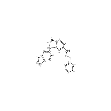 c1ccc(CCNc2ncc3ncn(-c4ccc5[nH]ncc5c4)c3n2)cc1